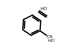 C=C.Cl.Cl.N#Cc1ccccc1